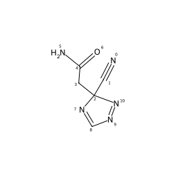 N#CC1(CC(N)=O)N=CN=N1